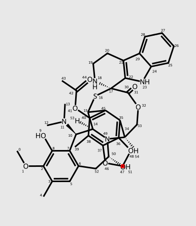 COc1c(C)cc2c(c1O)[C@@H](N(C)C)[C@H]1C3S[C@]4(NCCc5c4[nH]c4ccccc54)C(=O)OC[C@H](c4c5c(c(C)c(OC(C)=O)c43)OCO5)N1[C@H](O)C2